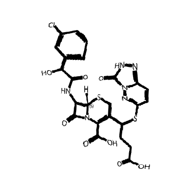 O=C(O)CCC(Sc1ccc2n[nH]c(=O)n2n1)C1=C(C(=O)O)N2C(=O)C(NC(=O)C(O)c3cccc(Cl)c3)[C@@H]2SC1